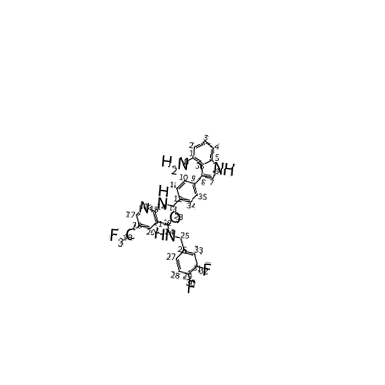 Nc1cccc2[nH]cc(-c3ccc(CNc4ncc(C(F)(F)F)cc4C(=O)NCc4ccc(F)c(F)c4)cc3)c12